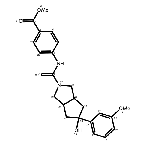 COC(=O)c1ccc(NC(=O)N2CC3CC(O)(c4cccc(OC)c4)CC3C2)cc1